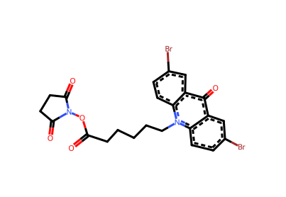 O=C(CCCCCn1c2ccc(Br)cc2c(=O)c2cc(Br)ccc21)ON1C(=O)CCC1=O